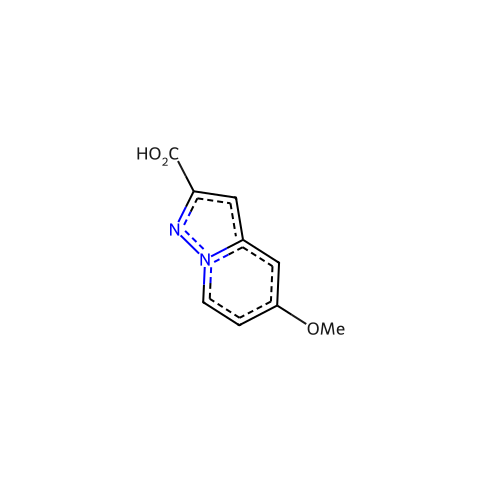 COc1ccn2nc(C(=O)O)cc2c1